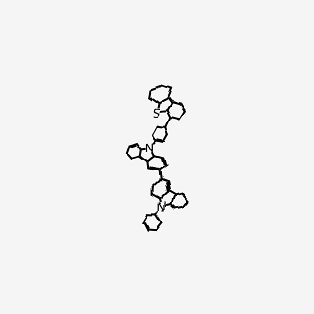 C1=CC2C(CC1)C1C=C(C3C=C4C5CCCCC5N(C5CC=CCC5)C4CC3)C=CC1N2C1=CCC(C2CCCC3C4CCCCC4SC23)CC1